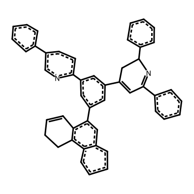 C1=Cc2c(-c3cc(C4=CC(c5ccccc5)=NC(c5ccccc5)C4)cc(-c4ccc(-c5ccccc5)cn4)c3)cc3ccccc3c2CC1